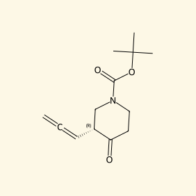 C=C=C[C@@H]1CN(C(=O)OC(C)(C)C)CCC1=O